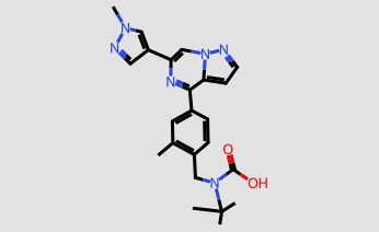 Cc1cc(-c2nc(-c3cnn(C)c3)cn3nccc23)ccc1CN(C(=O)O)C(C)(C)C